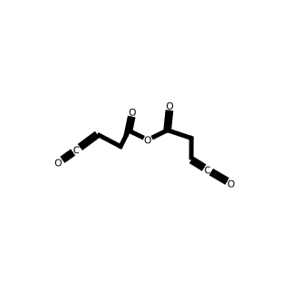 O=C=CCC(=O)OC(=O)CC=C=O